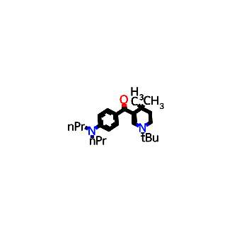 CCCN(CCC)c1ccc(C(=O)C2=CN(C(C)(C)C)CCC2(C)C)cc1